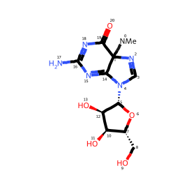 CNC12N=CN([C@@H]3O[C@H](CO)[C@@H](O)[C@H]3O)C1=NC(N)=NC2=O